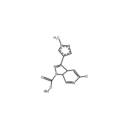 Cn1cc(C2=NN(C(=O)OC(C)(C)C)C3C=NC(Cl)=CC23)cn1